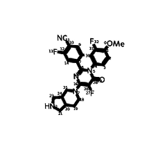 COc1ccc(-n2c(-c3ccc(C#N)c(F)c3)nc(N3CCC4CNCC4C3)c(F)c2=O)cc1F